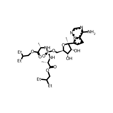 CCC(CC)COC(=O)[C@H](C)NP(=O)(N[C@@H](C)C(=O)OCC(CC)CC)OC[C@H]1O[C@@](C)(c2ccc3c(N)ncnn23)[C@H](O)[C@@H]1O